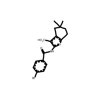 CC1(C)CCc2sc(NC(=O)c3ccc(Br)cc3)c(C(=O)O)c2C1